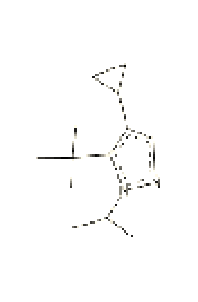 CC(C)n1ncc(C2CC2)c1C(C)(C)C